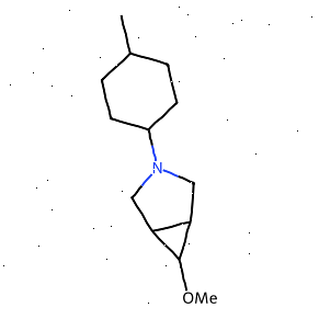 COC1C2CN(C3CCC(C)CC3)CC21